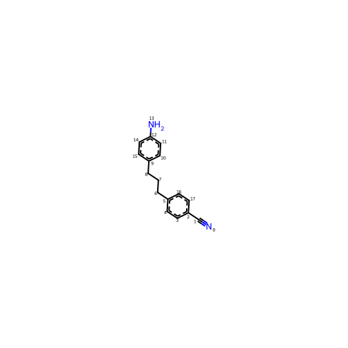 N#Cc1ccc(CCCc2ccc(N)cc2)cc1